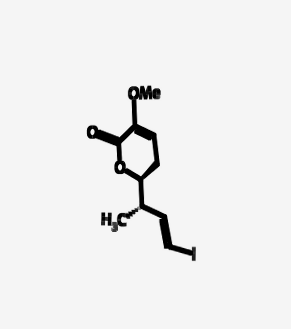 COC1=CC[C@@H]([C@@H](C)C=CI)OC1=O